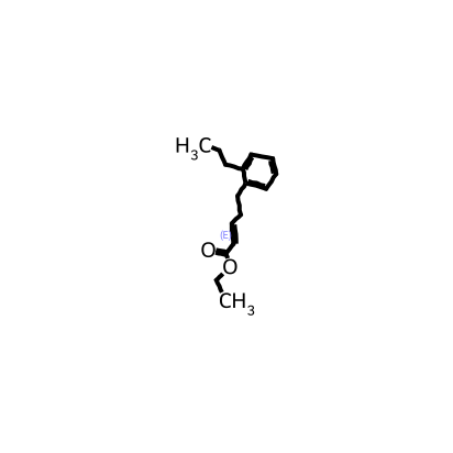 CCCc1ccccc1CC/C=C/C(=O)OCC